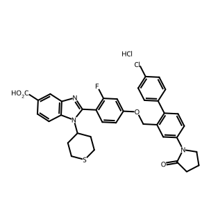 Cl.O=C(O)c1ccc2c(c1)nc(-c1ccc(OCc3cc(N4CCCC4=O)ccc3-c3ccc(Cl)cc3)cc1F)n2C1CCSCC1